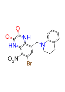 O=c1[nH]c2c(CN3CCCc4ccccc43)cc(Br)c([N+](=O)[O-])c2[nH]c1=O